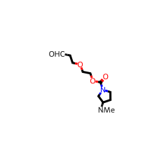 CNC1CCN(C(=O)OCCOCCC=O)C1